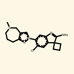 CNC1=Nc2cc(-n3cc4c(n3)CCCN(C)C4)c(Cl)cc2C12CCC2